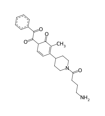 CC1=C(C2CCN(C(=O)CCCN)CC2)C=CC(C(=O)C(=O)c2ccccc2)C1=O